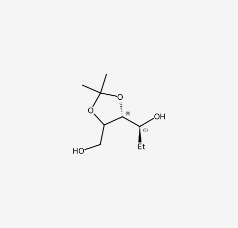 CC[C@H](O)[C@H]1OC(C)(C)OC1CO